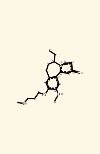 CCC1CCc2cc(OCCCSC)c(OC)cc2-c2cc(=O)ccn21